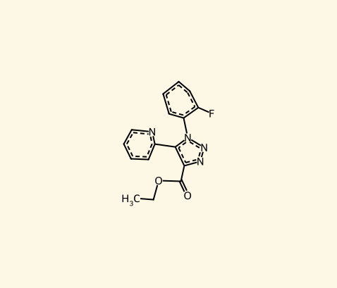 CCOC(=O)c1nnn(-c2ccccc2F)c1-c1ccccn1